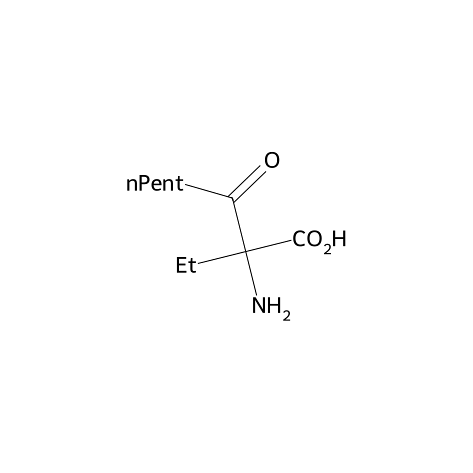 CCCCCC(=O)C(N)(CC)C(=O)O